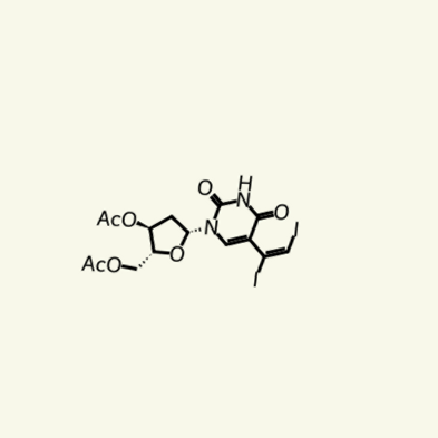 CC(=O)OC[C@H]1O[C@@H](n2cc(/C(I)=C\I)c(=O)[nH]c2=O)C[C@@H]1OC(C)=O